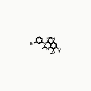 COc1cc2ncnc3c2c(c1OC)N=C(C)N3c1cccc(Br)c1